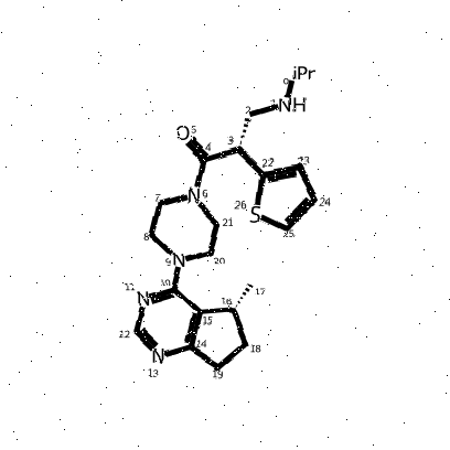 CC(C)NC[C@@H](C(=O)N1CCN(c2ncnc3c2[C@H](C)CC3)CC1)c1cccs1